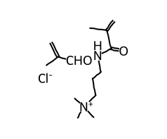 C=C(C)C(=O)NCCC[N+](C)(C)C.C=C(C)C=O.[Cl-]